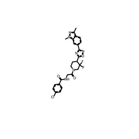 Cc1nn(C)c2cc(-c3noc(C4CCN(C(=O)CNC(=O)c5ccc(Cl)cc5)CC4(F)F)n3)ccc12